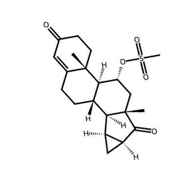 C[C@]12CCC(=O)C=C1CC[C@@H]1[C@@H]2[C@H](OS(C)(=O)=O)C[C@]2(C)C(=O)[C@H]3C[C@H]3[C@@H]12